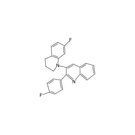 Fc1ccc(-c2nc3ccccc3cc2N2CCCc3ccc(F)cc32)cc1